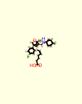 O=C(O)CCC/C=C\C[C@H]1[C@H](CNc2ccc(F)cc2)[C@@H]2C[C@@]1(c1ccc(F)cc1)CO2